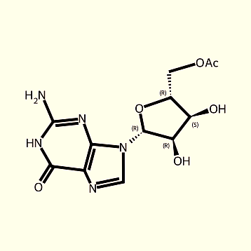 CC(=O)OC[C@H]1O[C@@H](n2cnc3c(=O)[nH]c(N)nc32)[C@H](O)[C@@H]1O